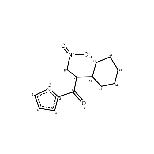 O=C(c1ccco1)C(C[N+](=O)[O-])C1CCCCC1